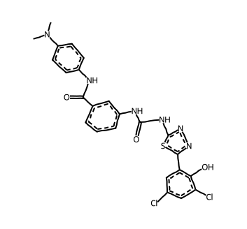 CN(C)c1ccc(NC(=O)c2cccc(NC(=O)Nc3nnc(-c4cc(Cl)cc(Cl)c4O)s3)c2)cc1